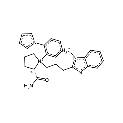 Cn1c(CCC[N+]2(c3ccccc3-n3cccc3)CCC[C@H]2C(N)=O)nc2ccccc21